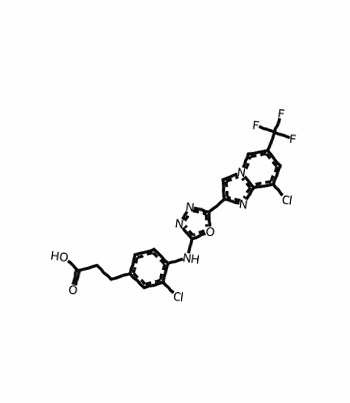 O=C(O)CCc1ccc(Nc2nnc(-c3cn4cc(C(F)(F)F)cc(Cl)c4n3)o2)c(Cl)c1